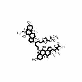 CC[C@H]1[C@@H](O)C2C3CC[C@H](C(CCC[C@H]4[C@@H](O)C5C6CC[C@H]([C@H](C)C(F)(F)C(=O)O)[C@@]6(C)CCC5[C@@]5(C)CC[C@@H](O)C[C@@H]45)CCc4nnc(NS(C)(=O)=O)o4)[C@@]3(C)CCC2[C@@]2(C)CC[C@@H](O)C[C@@H]12